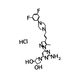 Cc1c(/C=C/CN2CCN(c3cc(F)cc(F)c3)CC2)cnn1-c1cc(N2C[C@H](O)[C@@H](O)C2)nc(N)n1.Cl